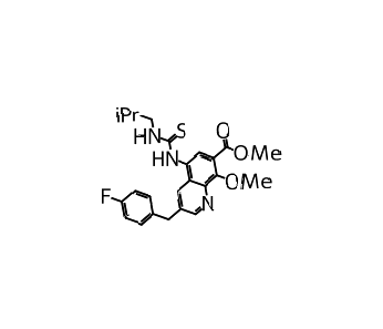 COC(=O)c1cc(NC(=S)NCC(C)C)c2cc(Cc3ccc(F)cc3)cnc2c1OC